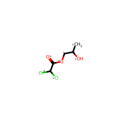 CC(O)COC(=O)C(Cl)Cl